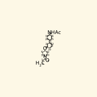 C=CC(=O)N1CCC(Oc2cccc(-c3ccc(NC(C)=O)cc3)c2)CC1